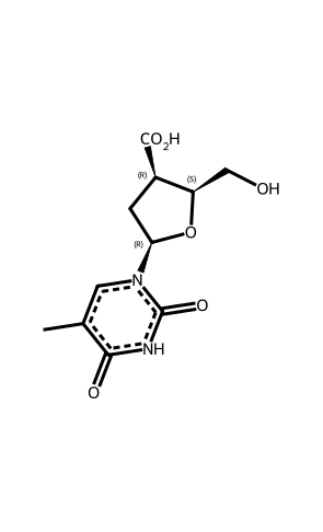 Cc1cn([C@H]2C[C@@H](C(=O)O)[C@@H](CO)O2)c(=O)[nH]c1=O